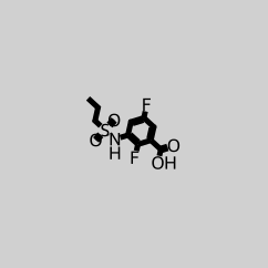 CCCS(=O)(=O)Nc1cc(F)cc(C(=O)O)c1F